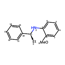 CC[C@H](Nc1ccccc1OC)c1ccccc1